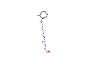 Cc1ccccc1OCCCCCNCCO